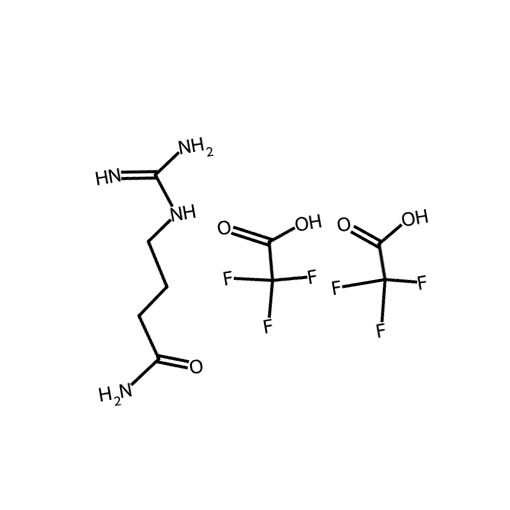 N=C(N)NCCCC(N)=O.O=C(O)C(F)(F)F.O=C(O)C(F)(F)F